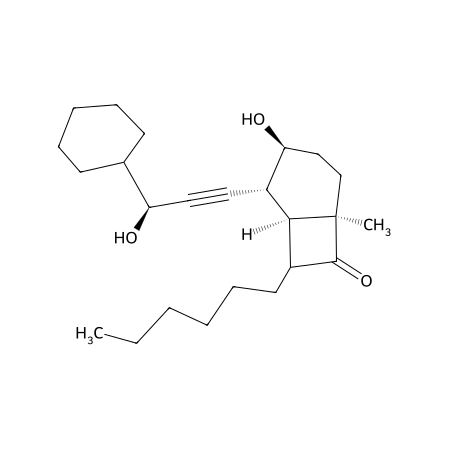 CCCCCCC1C(=O)[C@]2(C)CC[C@H](O)[C@@H](C#C[C@@H](O)C3CCCCC3)[C@H]12